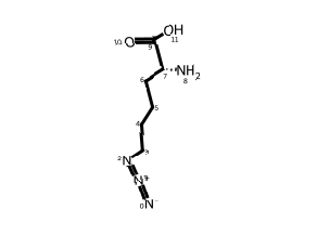 [N-]=[N+]=NCCCC[C@@H](N)C(=O)O